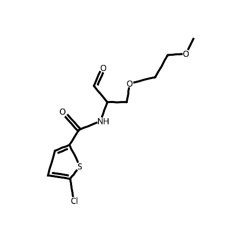 COCCOCC(C=O)NC(=O)c1ccc(Cl)s1